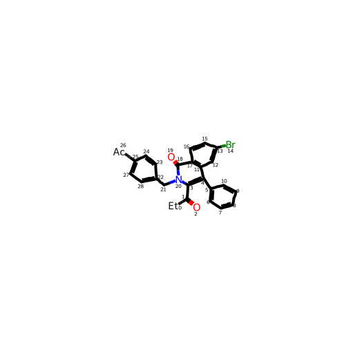 CCC(=O)c1c(-c2ccccc2)c2cc(Br)ccc2c(=O)n1Cc1ccc(C(C)=O)cc1